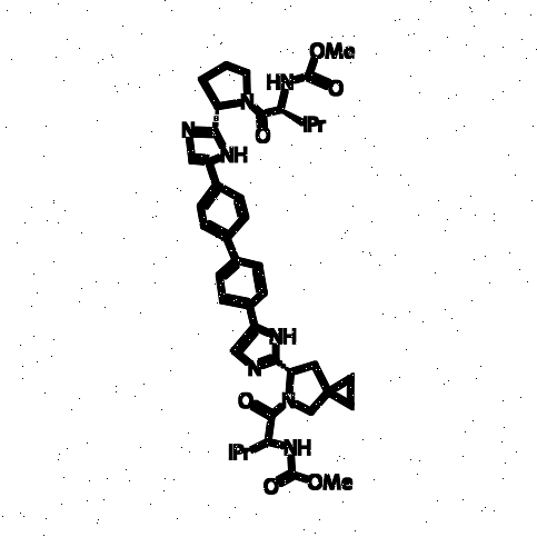 COC(=O)NC(C(=O)N1CC2(CC2)C[C@H]1c1ncc(-c2ccc(-c3ccc(-c4cnc([C@@H]5CCCN5C(=O)[C@@H](NC(=O)OC)C(C)C)[nH]4)cc3)cc2)[nH]1)C(C)C